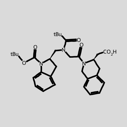 CC(C)(C)OC(=O)N1c2ccccc2C[C@@H]1CN(CC(=O)N1Cc2ccccc2C[C@@H]1CC(=O)O)C(=O)C(C)(C)C